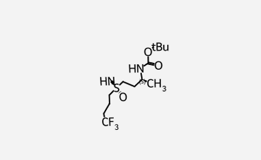 C[C@@H](CCS(=N)(=O)CCCC(F)(F)F)NC(=O)OC(C)(C)C